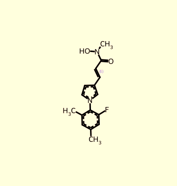 Cc1cc(C)c(-n2ccc(/C=C/C(=O)N(C)O)c2)c(F)c1